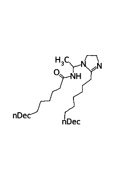 CCCCCCCCCCCCCCCCC1=NCCN1C(C)NC(=O)CCCCCCCCCCCCCCC